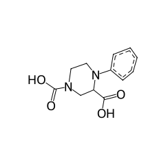 O=C(O)C1CN(C(=O)O)CCN1c1ccccc1